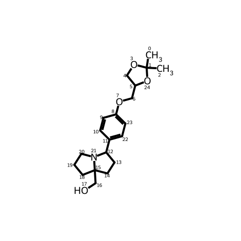 CC1(C)OCC(COc2ccc(C3CCC4(CO)CCCN34)cc2)O1